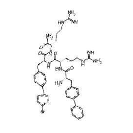 N=C(N)NCCC[C@H](NC(=O)[C@H](Cc1ccc(-c2ccc(Br)cc2)cc1)NC(=O)[C@H](CCCNC(=N)N)NC(=O)[C@@H](N)Cc1ccc(-c2ccccc2)cc1)C(N)=O